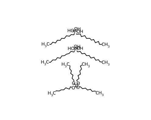 CCCCCCCCCCCCP(O)(O)(O)CCCCCCCCCCCC.CCCCCCCCCCCCP(O)(O)(O)CCCCCCCCCCCC.CCCCCCCC[O][Ti]([O]CCCCCCCC)([O]CCCCCCCC)[O]CCCCCCCC